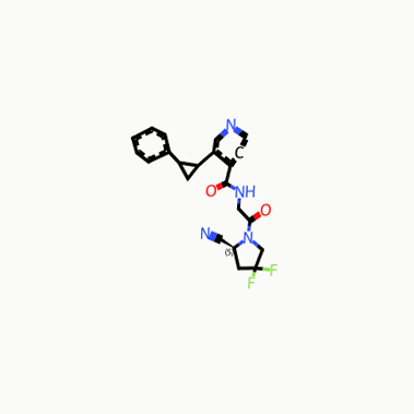 N#C[C@@H]1CC(F)(F)CN1C(=O)CNC(=O)c1ccncc1C1CC1c1ccccc1